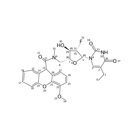 CCc1cn([C@@H]2O[C@H](CN(C)C(=O)C3c4ccccc4Oc4c(OC)cccc43)[C@@H](O)[C@@H]2F)c(=O)[nH]c1=O